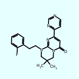 CC1(C)CN(CCc2ccccc2F)c2nc(-c3ccncn3)cc(=O)n2C1